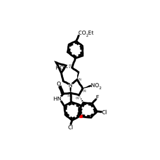 CCOC(=O)c1ccc([C@@H](O)C[C@H]2[C@@H]([N+](=O)[O-])[C@H](c3cccc(Cl)c3F)[C@]3(C(=O)Nc4cc(Cl)ccc43)N2CC2CC2)cc1